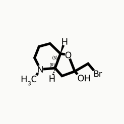 CN1CCC[C@@H]2OC(O)(CBr)C[C@H]21